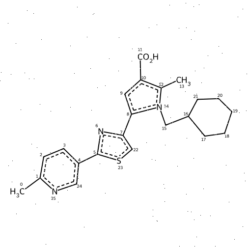 Cc1ccc(-c2nc(-c3cc(C(=O)O)c(C)n3CC3CCCCC3)cs2)cn1